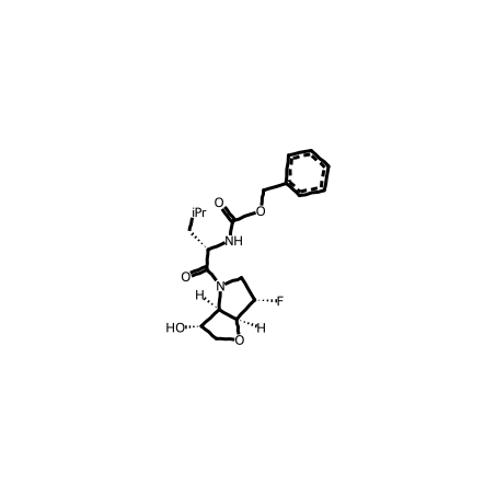 CC(C)C[C@H](NC(=O)OCc1ccccc1)C(=O)N1C[C@H](F)[C@H]2OC[C@H](O)[C@H]21